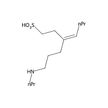 CCC/C=C(/CCCNCCC)CCS(=O)(=O)O